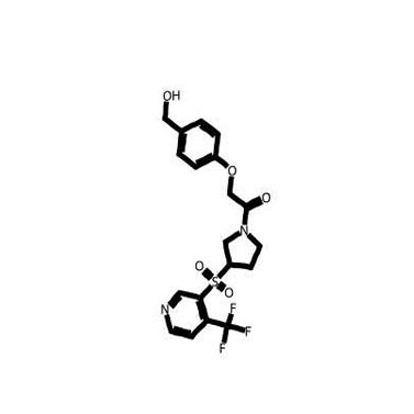 O=C(COc1ccc(CO)cc1)N1CCC(S(=O)(=O)c2cnccc2C(F)(F)F)C1